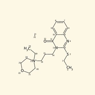 CCSc1nc2ccccc2c(=O)n1CCC[N+]1(CC)CCOCC1.[I-]